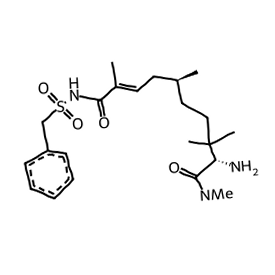 CNC(=O)[C@@H](N)C(C)(C)CC[C@H](C)C/C=C(\C)C(=O)NS(=O)(=O)Cc1ccccc1